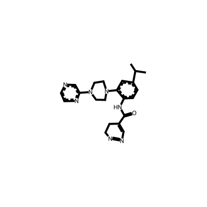 CC(C)c1ccc(NC(=O)C2=CN=NCC2)c(N2CCN(c3cnccn3)CC2)c1